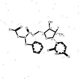 CCC(=O)ON(Oc1ccccc1)[PH](=O)OC[C@H]1O[C@@H](n2ccc(=O)[nH]c2=O)[C@](C)(F)[C@@H]1O